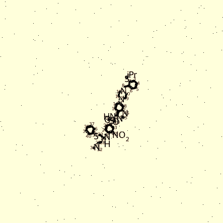 CC(C)Sc1ccccc1CN1CCN(c2ccc3c(NS(=O)(=O)c4ccc(N[C@H](CCN(C)C)CSc5ccccc5)c([N+](=O)[O-])c4)ncnc3c2)CC1